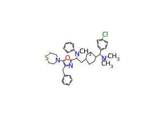 CN(C)C(c1ccc(Cl)cc1)C1CCC(CC(c2nc(Cc3ccccc3)c(N3CCSCC3)o2)N(C)c2ccccc2)CC1